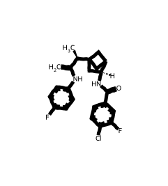 C=C(Nc1ccc(F)cc1)[C@@H](C)C12CC(C1)[C@@H](NC(=O)c1ccc(Cl)c(F)c1)C2